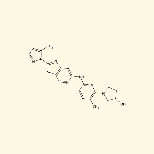 Cc1ccc(Nc2cc3nc(-n4nccc4C)sc3cn2)nc1N1CC[C@H](O)C1